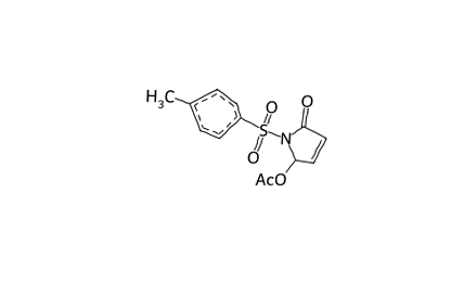 CC(=O)OC1C=CC(=O)N1S(=O)(=O)c1ccc(C)cc1